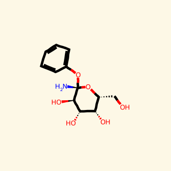 N[C@@]1(Oc2ccccc2)O[C@H](CO)[C@H](O)[C@H](O)[C@H]1O